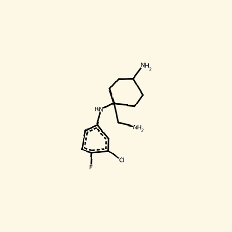 NCC1(Nc2ccc(F)c(Cl)c2)CCC(N)CC1